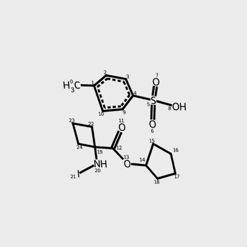 Cc1ccc(S(=O)(=O)O)cc1.O=C(OC1CCCC1)C1(NI)CCC1